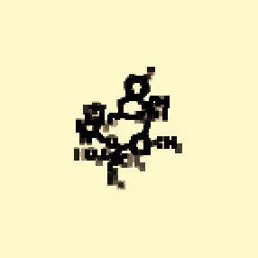 CCCn1cc(COC(c2ccc(C)c(CN3CC(C)Cc4ccc(F)cc4S3(O)O)c2)C(C)(C)C(=O)O)nn1